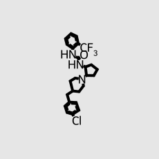 O=C(Nc1ccccc1C(F)(F)F)NC1CCCC1N1CCC(Cc2ccc(Cl)cc2)CC1